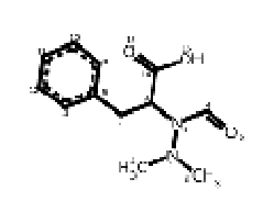 CN(C)N(C=O)C(Cc1ccccc1)C(=O)O